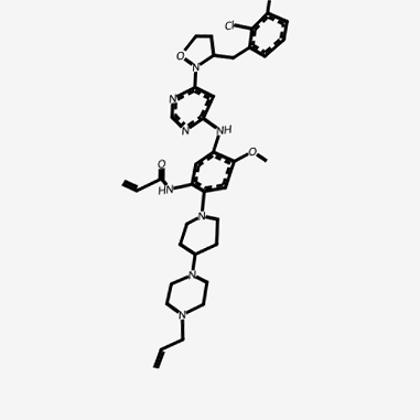 C=CCN1CCN(C2CCN(c3cc(OC)c(Nc4cc(N5OCCC5Cc5cccc(Cl)c5Cl)ncn4)cc3NC(=O)C=C)CC2)CC1